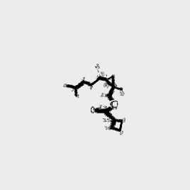 CC(C)=CC[C@H](C)[C@H]1C[C@]1(C)COC(=O)C1CCC1